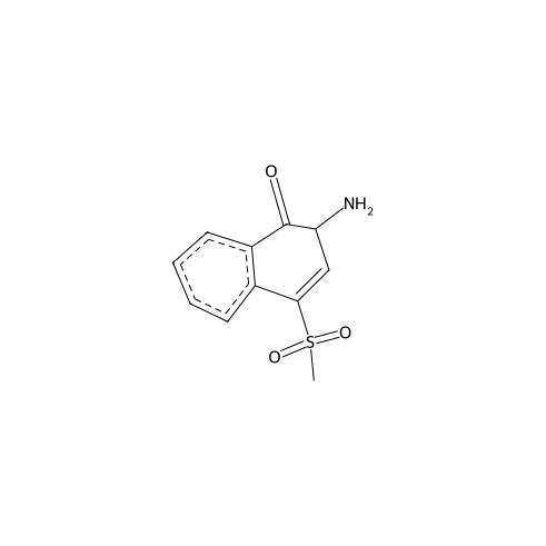 CS(=O)(=O)C1=CC(N)C(=O)c2ccccc21